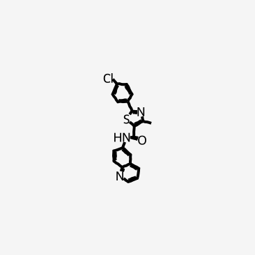 Cc1nc(-c2ccc(Cl)cc2)sc1C(=O)Nc1ccc2ncccc2c1